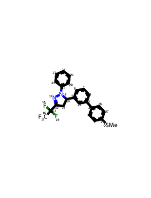 CSc1ccc(-c2cccc(C3CC(C(F)(F)C(F)(F)F)=NN3c3ccccc3)c2)cc1